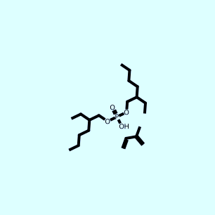 C=CC(=C)C.CCCCC(CC)COP(=O)(O)OCC(CC)CCCC